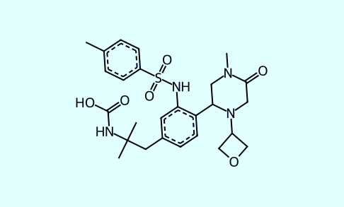 Cc1ccc(S(=O)(=O)Nc2cc(CC(C)(C)NC(=O)O)ccc2C2CN(C)C(=O)CN2C2COC2)cc1